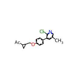 CC(=O)C1CC1COc1ccc(-c2cc(C)cnc2Cl)cc1